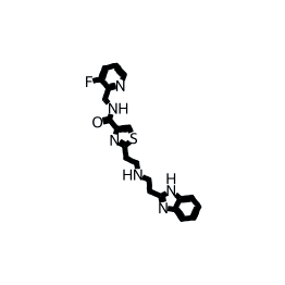 O=C(NCc1ncccc1F)c1csc(CCNCCc2nc3ccccc3[nH]2)n1